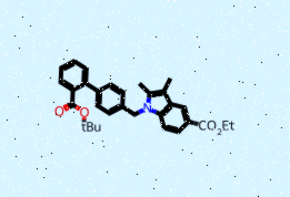 CCOC(=O)c1ccc2c(c1)c(C)c(C)n2Cc1ccc(-c2ccccc2C(=O)OC(C)(C)C)cc1